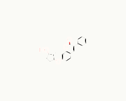 O=c1oc2cc(OC3CCC(O)C3C(F)(F)F)ccc2cc1-c1ccccc1